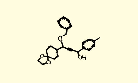 Cc1ccc(C(O)C#CC(OCc2ccccc2)C2CCC3(CC2)OCCO3)cc1